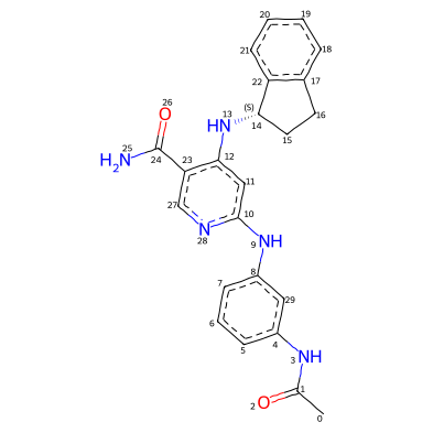 CC(=O)Nc1cccc(Nc2cc(N[C@H]3CCc4ccccc43)c(C(N)=O)cn2)c1